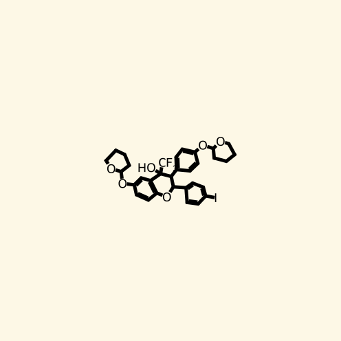 OC1(C(F)(F)F)c2cc(OC3CCCCO3)ccc2OC(c2ccc(I)cc2)C1c1ccc(OC2CCCCO2)cc1